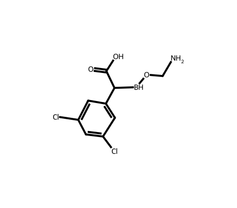 NCOBC(C(=O)O)c1cc(Cl)cc(Cl)c1